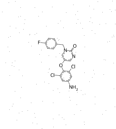 Nc1cc(Cl)c(Oc2cnc(=O)n(Cc3ccc(F)cc3)c2)c(Cl)c1